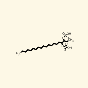 CCCCCCCCCCCCCCCCC(OS(=O)(=O)O)C(CC)OS(=O)(=O)O